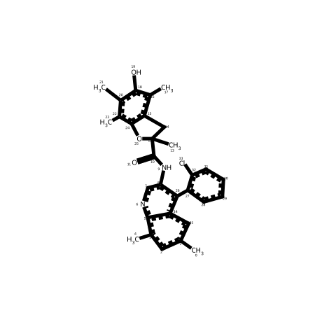 Cc1cc(C)c2ncc(NC(=O)C3(C)Cc4c(C)c(O)c(C)c(C)c4O3)c(-c3ccccc3Cl)c2c1